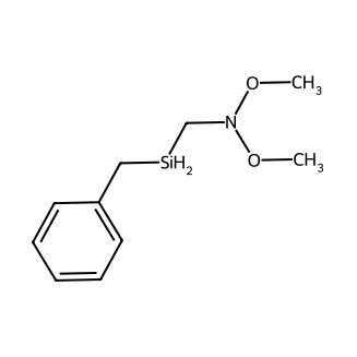 CON(C[SiH2]Cc1ccccc1)OC